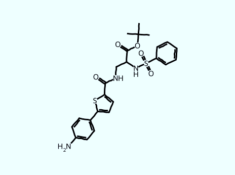 CC(C)(C)OC(=O)C(CNC(=O)c1ccc(-c2ccc(N)cc2)s1)NS(=O)(=O)c1ccccc1